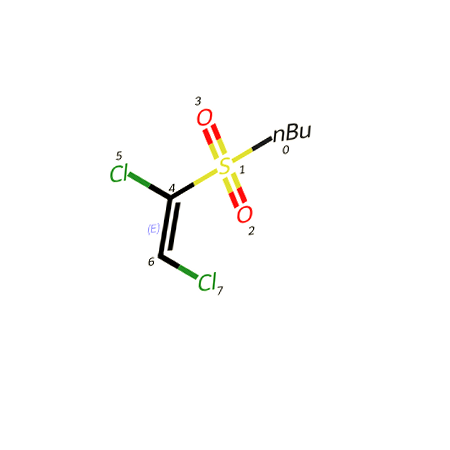 CCCCS(=O)(=O)/C(Cl)=C\Cl